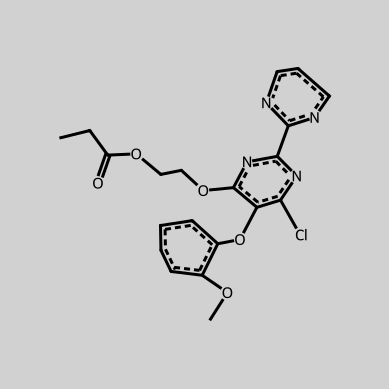 CCC(=O)OCCOc1nc(-c2ncccn2)nc(Cl)c1Oc1ccccc1OC